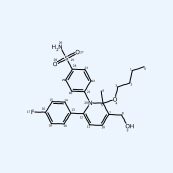 CCCCOC1(C)C(CO)=CC=C(c2ccc(F)cc2)N1c1ccc(S(N)(=O)=O)cc1